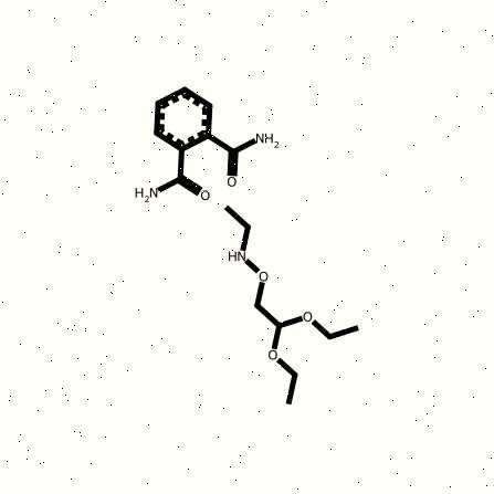 CCNOCC(OCC)OCC.NC(=O)c1ccccc1C(N)=O